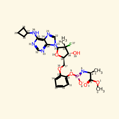 COC(=O)[C@H](C)/N=[P+](\[O-])Oc1ccccc1OC[C@H]1OC(n2cnc3c(NC4CCC4)ncnc32)[C@](C)(F)[C@@H]1O